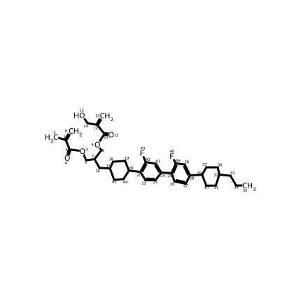 C=C(C)C(=O)OCC(COC(=O)C(=C)CO)CC1CCC(c2ccc(-c3ccc(C4CCC(CCC)CC4)cc3F)cc2F)CC1